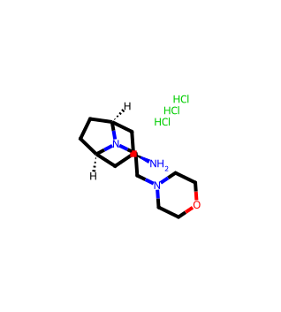 Cl.Cl.Cl.N[C@H]1C[C@H]2CC[C@@H](C1)N2CCN1CCOCC1